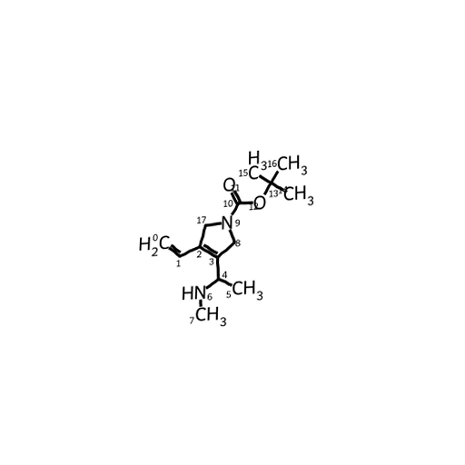 C=CC1=C(C(C)NC)CN(C(=O)OC(C)(C)C)C1